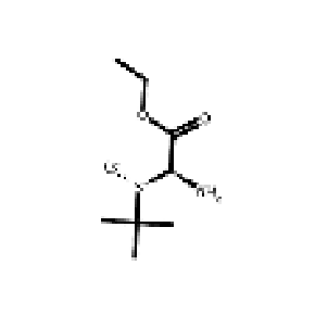 CCOC(=O)[C@@H](N)[S@@+]([O-])C(C)(C)C